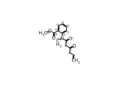 C=CCC(=O)CC(=O)N(C)c1ccccc1C(=O)OC